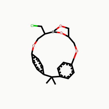 CC1(C)c2ccc(cc2)OCC2COB(O2)C(CCl)COc2ccc1cc2